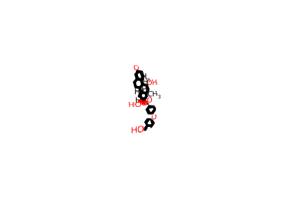 C[C@]12C=CC(=O)C=C1CC[C@@H]1[C@@H]2[C@@H](O)C[C@@]2(C)[C@H]1C[C@H]1O[C@@H](c3ccc(Oc4ccc(CO)cc4)cc3)O[C@]12C(=O)CO